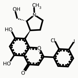 CN1CC[C@@H](c2c(O)cc(O)c3c(=O)cc(-c4cccc(I)c4Cl)oc23)[C@@H]1CO